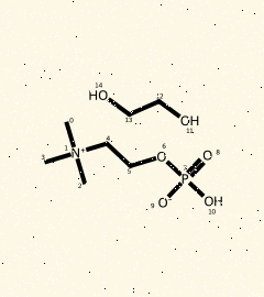 C[N+](C)(C)CCOP(=O)([O-])O.OCCO